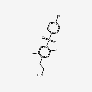 Cc1cc(S(=O)(=O)c2ccc(Br)cc2)c(C)cc1CCN